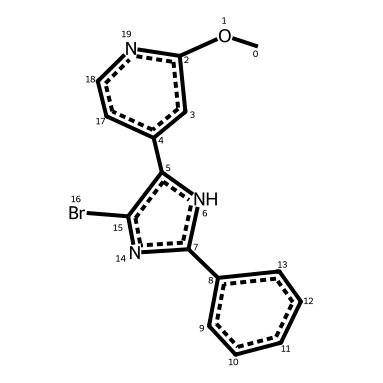 COc1cc(-c2[nH]c(-c3ccccc3)nc2Br)ccn1